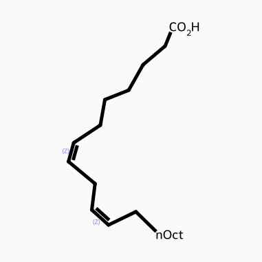 CCCCCCCCC/C=C\C/C=C\CCCCCC(=O)O